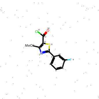 COc1nc(-c2cccc(F)c2)sc1C(=O)Cl